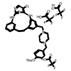 COc1ccc(CN2CCN(Cc3cc4cc(c3)Nc3nc(ncc3Cl)Nc3cccc(c3)CC4)CC2)cc1.O=C(O)C(F)(F)F.O=C(O)C(F)(F)F.O=C(O)C(F)(F)F